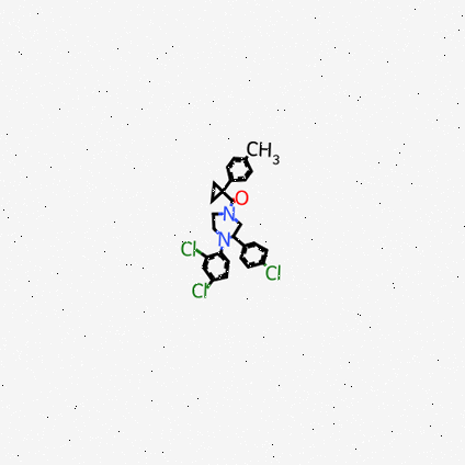 Cc1ccc(C2(C(=O)N3CCN(c4ccc(Cl)cc4Cl)C(c4ccc(Cl)cc4)C3)CC2)cc1